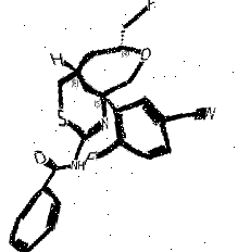 N#Cc1ccc(F)c([C@]23CO[C@@H](CF)C[C@H]2CSC(NC(=O)c2ccccc2)=N3)c1